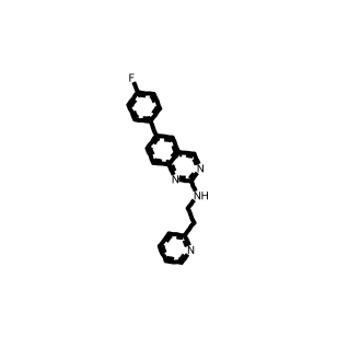 Fc1ccc(-c2ccc3nc(NCCc4ccccn4)ncc3c2)cc1